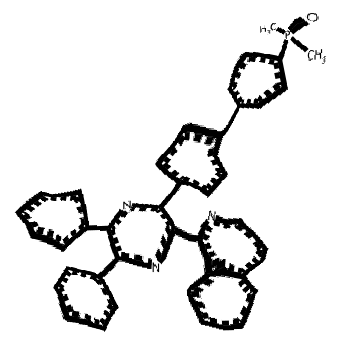 CP(C)(=O)c1ccc(-c2ccc(-c3nc(-c4ccccc4)c(-c4ccccc4)nc3-c3nccc4ccccc34)cc2)cc1